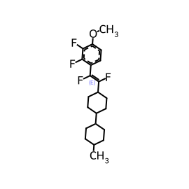 COc1ccc(/C(F)=C(\F)C2CCC(C3CCC(C)CC3)CC2)c(F)c1F